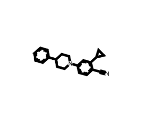 N#Cc1ccc(N2CCC(c3cc[c]cc3)CC2)cc1C1CC1